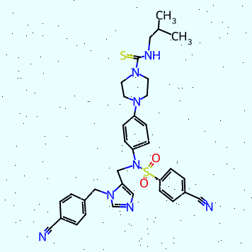 CC(C)CNC(=S)N1CCN(c2ccc(N(Cc3cncn3Cc3ccc(C#N)cc3)S(=O)(=O)c3ccc(C#N)cc3)cc2)CC1